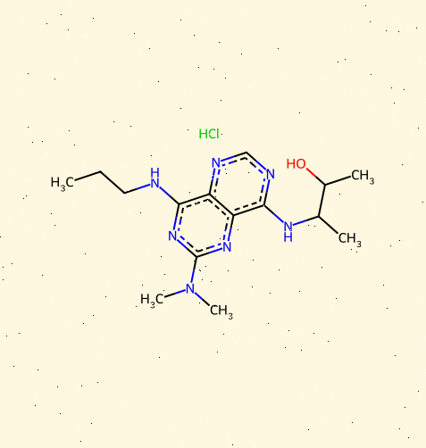 CCCNc1nc(N(C)C)nc2c(NC(C)C(C)O)ncnc12.Cl